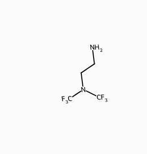 NCCN(C(F)(F)F)C(F)(F)F